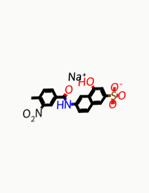 Cc1ccc(C(=O)Nc2ccc3cc(S(=O)(=O)[O-])cc(O)c3c2)cc1[N+](=O)[O-].[Na+]